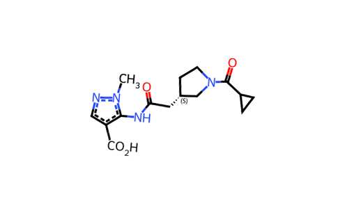 Cn1ncc(C(=O)O)c1NC(=O)C[C@@H]1CCN(C(=O)C2CC2)C1